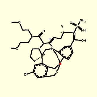 COCCN(CCOC)C(=O)C(/C(F)=C/C[C@H](C)CS(=N)(N)=O)N1CCC[C@@]12CN1CCCCc3cc(Cl)cc2c3COc2ccc(C(=O)O)cc21